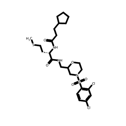 CSCC[C@H](NC(=O)CCC1CCCC1)C(=O)NCC1CN(S(=O)(=O)c2ccc(Cl)cc2Cl)CCO1